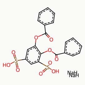 O=C(Oc1cc(S(=O)(=O)O)cc(S(=O)(=O)O)c1OC(=O)c1ccccc1)c1ccccc1.[NaH].[NaH]